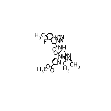 CCn1nc(C[C@H](NC(=O)/C=C/c2c(-n3cnnn3)ccc(C)c2F)C(=O)Nc2ccc(C(=O)OC)cn2)cc1C